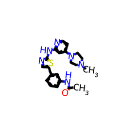 CC(=O)Nc1cccc(-c2cnc(Nc3cc(N4CCN(C)CC4)ccn3)s2)c1